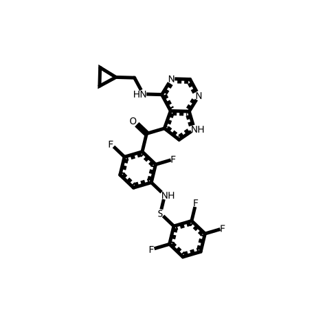 O=C(c1c(F)ccc(NSc2c(F)ccc(F)c2F)c1F)c1c[nH]c2ncnc(NCC3CC3)c12